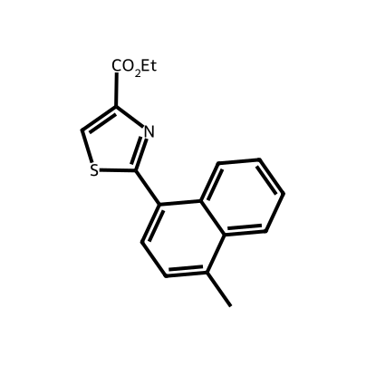 CCOC(=O)c1csc(-c2ccc(C)c3ccccc23)n1